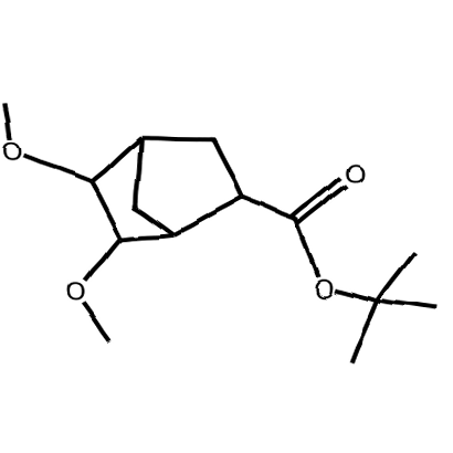 COC1C2CC(C(=O)OC(C)(C)C)C(C2)C1OC